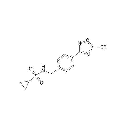 O=S(=O)(NCc1ccc(-c2noc(C(F)(F)F)n2)cc1)C1CC1